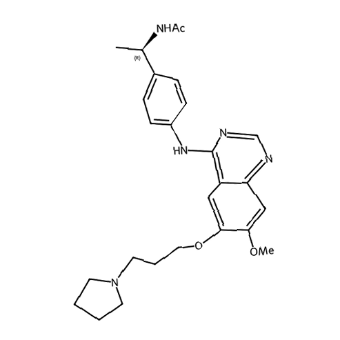 COc1cc2ncnc(Nc3ccc([C@@H](C)NC(C)=O)cc3)c2cc1OCCCN1CCCC1